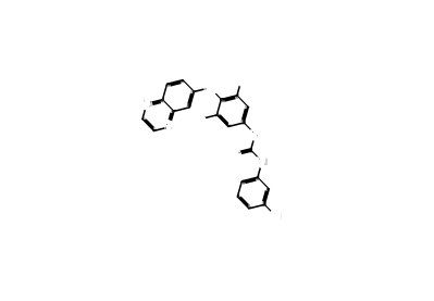 O=C(Nc1cccc(C(F)(F)F)c1)Nc1cc(F)c(Oc2ccc3nccnc3c2)c(F)c1